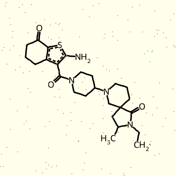 [CH2]CN1C(=O)C2(CCCN(C3CCN(C(=O)c4c(N)sc5c4CCCC5=O)CC3)C2)CC1C